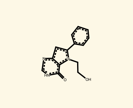 O=c1[nH]cnc2cc(-c3ccccc3)n(CCO)c12